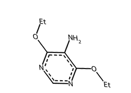 CCOc1ncnc(OCC)c1N